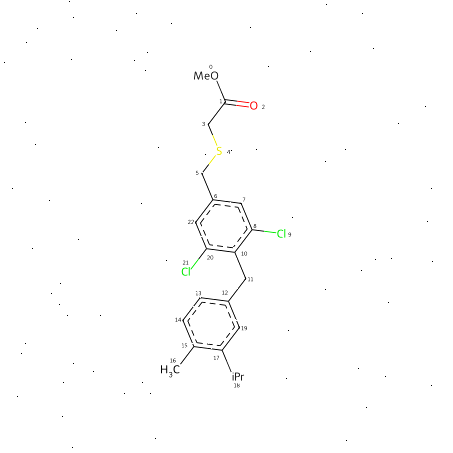 COC(=O)CSCc1cc(Cl)c(Cc2ccc(C)c(C(C)C)c2)c(Cl)c1